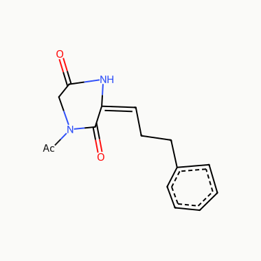 CC(=O)N1CC(=O)N/C(=C/CCc2ccccc2)C1=O